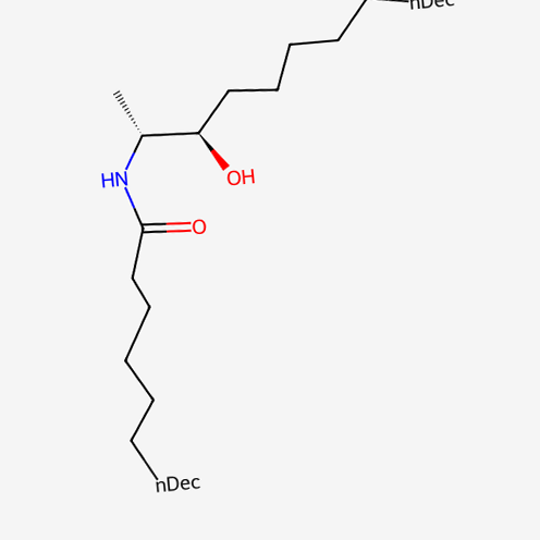 CCCCCCCCCCCCCCCC(=O)N[C@H](C)[C@H](O)CCCCCCCCCCCCCCC